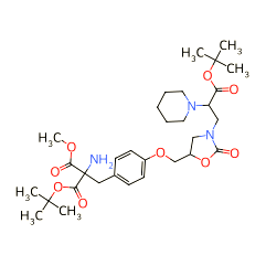 COC(=O)C(N)(Cc1ccc(OCC2CN(CC(C(=O)OC(C)(C)C)N3CCCCC3)C(=O)O2)cc1)C(=O)OC(C)(C)C